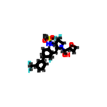 CCS(=O)(=O)N[C@@H]1[C@H](Cc2cccc(-c3cccc(C(F)F)c3)c2F)N(C(O)C2CCO2)CC1(F)F